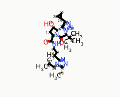 CSc1nnc(CCCNC(=O)C2CC(O)CN2C(=O)[C@@H](n2cc(C3CC3)nn2)C(C)(C)C)n1CC(C)C